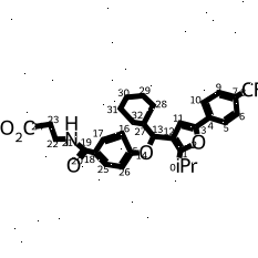 CC(C)c1oc(-c2ccc(C(F)(F)F)cc2)cc1C(Oc1ccc(C(=O)NCCC(=O)O)cc1)C1CCCCC1